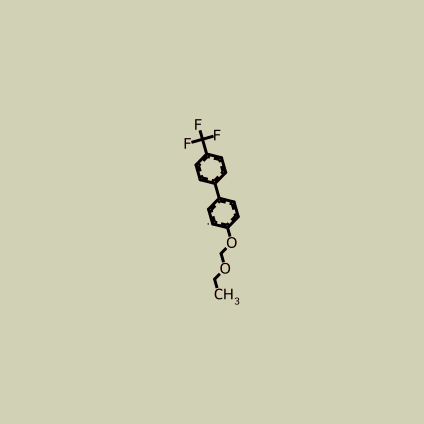 CCOCOc1[c]cc(-c2ccc(C(F)(F)F)cc2)cc1